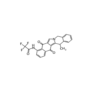 CC1c2ccccc2Cn2cc3c(c21)C(=O)c1cccc(NC(=O)C(F)(F)F)c1C3=O